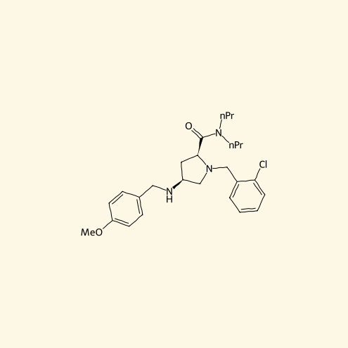 CCCN(CCC)C(=O)[C@@H]1C[C@H](NCc2ccc(OC)cc2)CN1Cc1ccccc1Cl